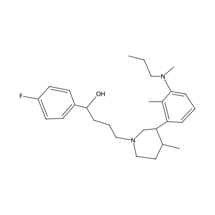 CCCN(C)c1cccc(C2CN(CCCC(O)c3ccc(F)cc3)CCC2C)c1C